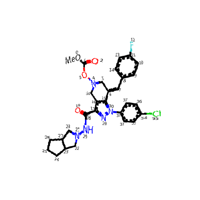 COC(=O)ON1C/C(=C\c2ccc(F)cc2)c2c(c(C(=O)NN3CC4CCCC4C3)nn2-c2ccc(Cl)cc2)C1